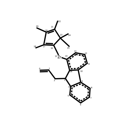 C=CCC1c2ccccc2-c2ccc[c]([Zr][C]3=C(C)C(C)=C(C)C3(C)C)c21